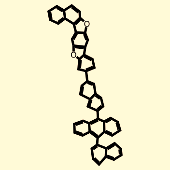 c1ccc2c(-c3c4ccccc4c(-c4ccc5cc(-c6ccc7c(c6)oc6cc8c(cc67)oc6ccc7ccccc7c68)ccc5c4)c4ccccc34)cccc2c1